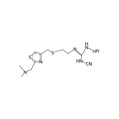 CCCNC(=NCCSCc1csc(CN(C)C)n1)NC#N